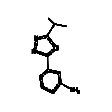 CC(C)c1nnc(-c2cccc(N)c2)s1